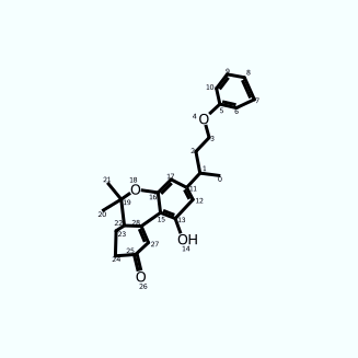 CC(CCOc1ccccc1)c1cc(O)c2c(c1)OC(C)(C)C1CCC(=O)C=C21